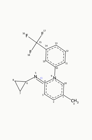 Cc1cc/c(=N\C2CC2)n(-c2cccc(C(F)(F)F)c2)c1